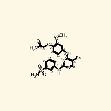 COc1cc(Nc2nc(Nc3cccc(S(N)(=O)=O)c3)ncc2F)ccc1OCC(N)=O